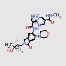 CNC(=O)C1=CN/C(=C(\C=N)C(=O)Nc2cc3c(cc2N2CCOCC2)C(=O)N(C[C@@H](F)C(C)(C)O)C3)N=C1